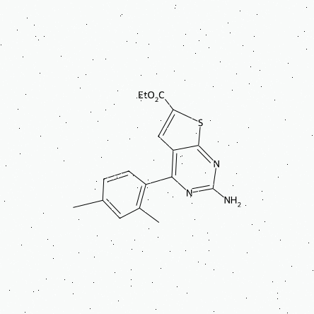 CCOC(=O)c1cc2c(-c3ccc(C)cc3C)nc(N)nc2s1